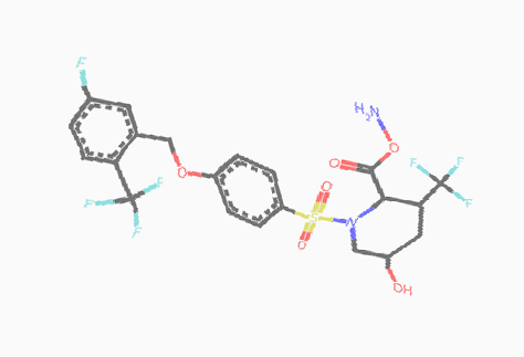 NOC(=O)C1C(C(F)(F)F)CC(O)CN1S(=O)(=O)c1ccc(OCc2cc(F)ccc2C(F)(F)F)cc1